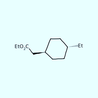 CCOC(=O)C[C@H]1CC[C@H](CC)CC1